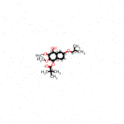 COc1c(OC)c(OC(=O)C(C)(C)C)c2ccc(OCC(C)C)cc2c1O